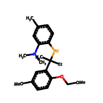 CCC(C)(Pc1ccc(C)cc1N(C)C)c1cc(OC)ccc1OCOC